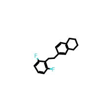 Fc1cccc(F)c1CCc1ccc2c(c1)CCCC2